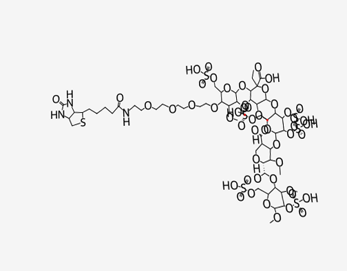 CCC1(C(=O)O)OC(OC2C(COS(=O)(=O)O)OC(OC3C(C(=O)O)CO[C@@H](C(O)OC4C(COS(=O)(=O)O)OC(OC)C(OS(=O)(=O)O)C4OC)C3OC)C(OS(=O)(=O)O)C2OS(=O)(=O)O)C(OC)C(OC)C1OC1OC(COS(=O)(=O)O)C(OCCOCCOCCOCCNC(=O)CCCCC2SCC3NC(=O)NC32)C(OC)C1OC